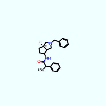 CC(C)(C)C(C(=O)NC1CC[C@H]2CN(Cc3ccccc3)CC12)c1ccccc1